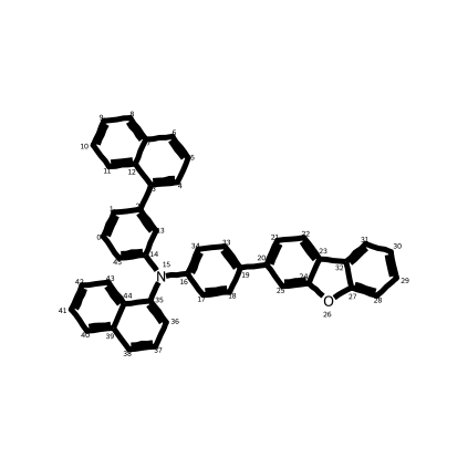 c1cc(-c2cccc3ccccc23)cc(N(c2ccc(-c3ccc4c(c3)oc3ccccc34)cc2)c2cccc3ccccc23)c1